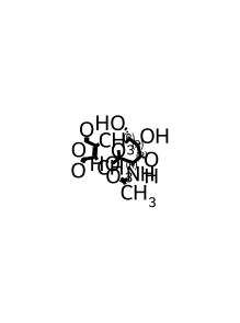 CC(=O)N[C@H]1C(O)O[C@H](CO)[C@H](O)[C@@H]1O.CC1=C(C)C(=O)OC1=O